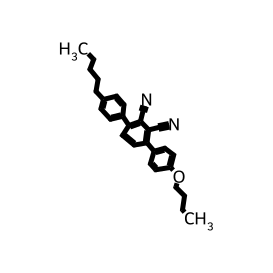 CCCCCc1ccc(-c2ccc(-c3ccc(OCCCC)cc3)c(C#N)c2C#N)cc1